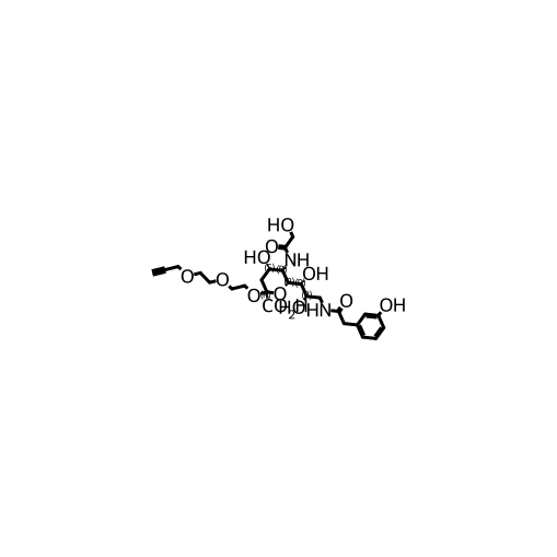 C#CCOCCOCCO[C@]1(C(=O)O)C[C@H](O)[C@@H](NC(=O)CO)[C@H]([C@H](O)[C@H](O)CNC(=O)Cc2cccc(O)c2)O1